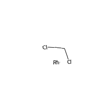 ClCCl.[Rh]